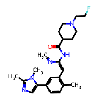 C=N/C(=C\c1cc(-c2cnc(C)n2C)ccc1C)NC(=O)C1CCN(CCF)CC1